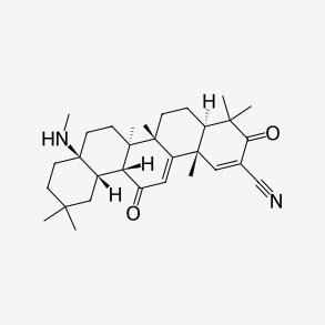 CN[C@]12CCC(C)(C)C[C@H]1[C@H]1C(=O)C=C3[C@@]4(C)C=C(C#N)C(=O)C(C)(C)[C@@H]4CC[C@@]3(C)[C@]1(C)CC2